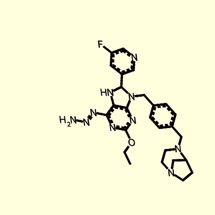 CCOc1nc(N=NN)c2c(n1)N(Cc1ccc(CN3CCN4CCC3C4)cc1)C(c1cncc(F)c1)N2